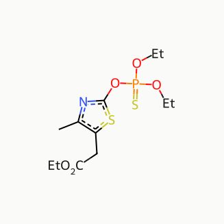 CCOC(=O)Cc1sc(OP(=S)(OCC)OCC)nc1C